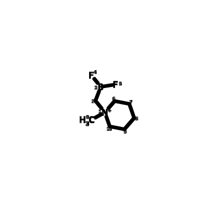 C[N+]1(CB(F)F)CCCCC1